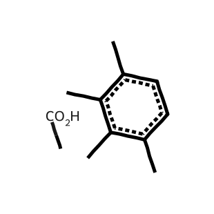 CC(=O)O.Cc1ccc(C)c(C)c1C